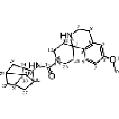 COc1ccc2c(c1)CCNC21CCN(C(=O)NC2C3CC4CC(C3)CC2C4)CC1